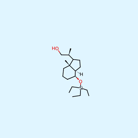 CC[Si](CC)(CC)O[C@H]1CCC[C@]2(C)C([C@H](C)CO)CC[C@@H]12